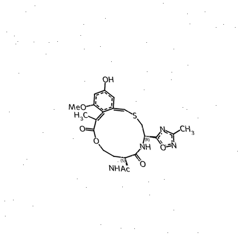 COc1cc(O)cc2c1=C(C)C(=O)OCC[C@H](NC(C)=O)C(=O)N[C@H](c1nc(C)no1)CSC=2